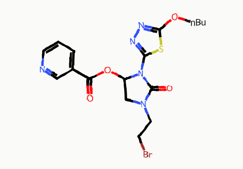 CCCCOc1nnc(N2C(=O)N(CCBr)CC2OC(=O)c2cccnc2)s1